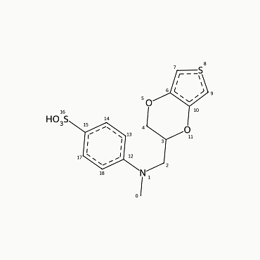 CN(CC1COc2cscc2O1)c1ccc(S(=O)(=O)O)cc1